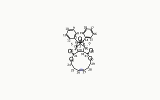 C[C@]12C(=O)[C@](C)(C(c3ccccc3)=C1c1ccccc1)C1C(=O)OCC/C=C\CCOC(=O)C12